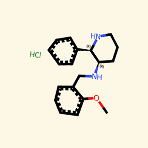 COc1ccccc1CN[C@@H]1CCCN[C@@H]1c1ccccc1.Cl